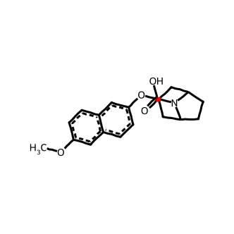 COc1ccc2cc(OC3CC4CCC(C3)N4C(=O)O)ccc2c1